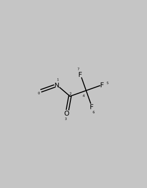 C=NC(=O)C(F)(F)F